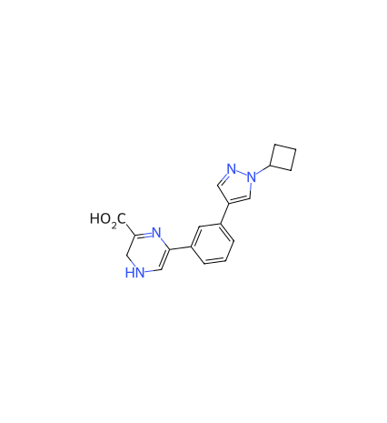 O=C(O)C1=NC(c2cccc(-c3cnn(C4CCC4)c3)c2)=CNC1